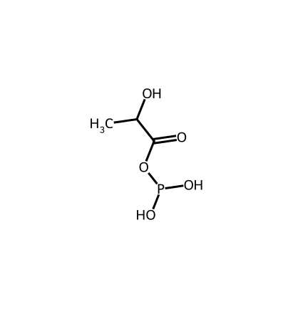 CC(O)C(=O)OP(O)O